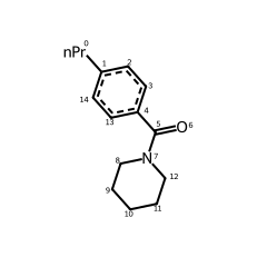 [CH2]CCc1ccc(C(=O)N2CCCCC2)cc1